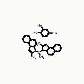 CC(C)(C)c1ccc(O)c(C(C)(C)C)c1.[CH2]=[Zr]([CH]1C(C)=Cc2c1ccc1ccccc21)[CH]1C(C)=Cc2c1ccc1ccccc21